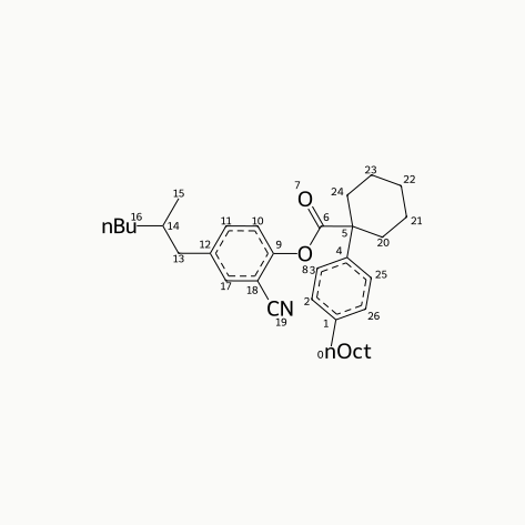 CCCCCCCCc1ccc(C2(C(=O)Oc3ccc(CC(C)CCCC)cc3C#N)CCCCC2)cc1